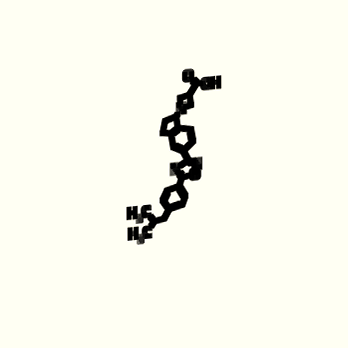 CC(C)Cc1ccc(-c2nc(-c3ccc4c(c3)CCC4N3CC(C(=O)O)C3)no2)cc1